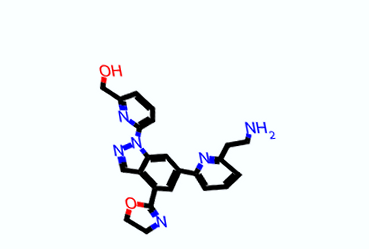 NCCc1cccc(-c2cc(C3=NCCO3)c3cnn(-c4cccc(CO)n4)c3c2)n1